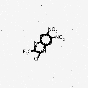 O=[N+]([O-])c1cc2nc(Cl)c(C(F)(F)F)nc2cc1[N+](=O)[O-]